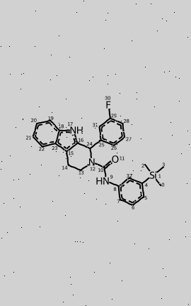 C[Si](C)(C)c1cccc(NC(=O)N2CCc3c([nH]c4ccccc34)C2c2cccc(F)c2)c1